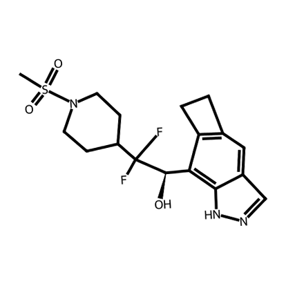 CS(=O)(=O)N1CCC(C(F)(F)[C@H](O)c2c3c(cc4cn[nH]c24)CC3)CC1